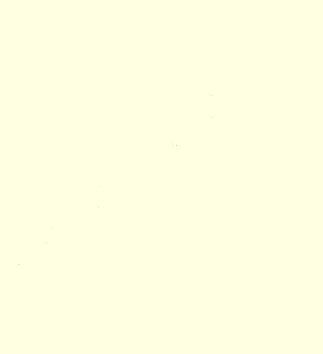 C=C(CCCCCCC(=O)NCCCCC(=O)N1CCC(O)C1)NCc1cc2c(nc1CCCCCCCCC(C)=O)NCCC2